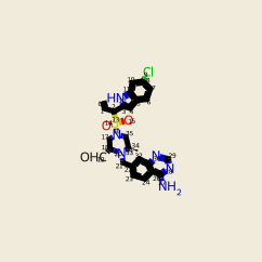 C=CC(c1cc2ccc(Cl)cc2[nH]1)S(=O)(=O)N1CC(C=O)N(Cc2ccc3c(N)ncnc3c2)[C@@H](C)C1